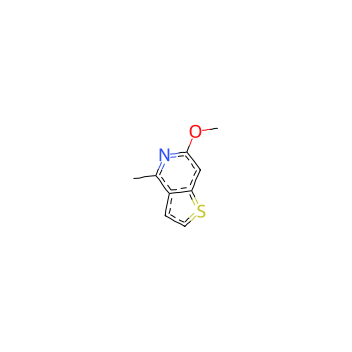 COc1cc2sccc2c(C)n1